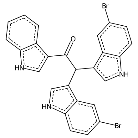 O=C(c1c[nH]c2ccccc12)C(c1c[nH]c2ccc(Br)cc12)c1c[nH]c2ccc(Br)cc12